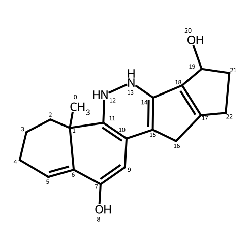 CC12CCCC=C1C(O)=CC1=C2NNC2=C1CC1=C2C(O)CC1